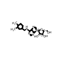 Cc1ccc(CNc2ncnc3c2ncn3[C@@H]2O[C@H](CO)[C@@H](O)[C@H]2O)cc1C